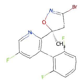 C[C@@]1(c2ncc(F)cc2-c2c(F)cccc2F)CC(Br)=NO1